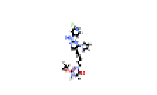 C[C@@H](C(=O)NCCCC#Cc1cnc(Nc2ccnc(F)c2)nc1N1CCCC1)N(C)C(=O)OC(C)(C)C